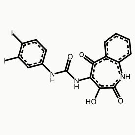 O=C(Nc1ccc(I)c(I)c1)Nc1c(O)c(=O)[nH]c2ccccc2c1=O